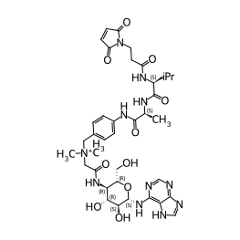 CC(C)[C@H](NC(=O)CCN1C(=O)C=CC1=O)C(=O)N[C@@H](C)C(=O)Nc1ccc(C[N+](C)(C)CC(=O)N[C@@H]2[C@@H](O)[C@H](O)[C@@H](Nc3ncnc4nc[nH]c34)O[C@H]2CO)cc1